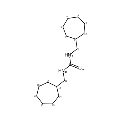 O=C(NCC1CCCCCC1)NCC1CCCCCC1